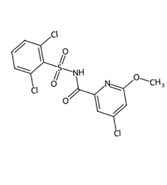 COc1cc(Cl)cc(C(=O)NS(=O)(=O)c2c(Cl)cccc2Cl)n1